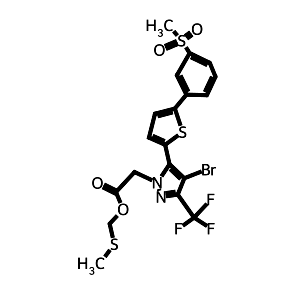 CSCOC(=O)Cn1nc(C(F)(F)F)c(Br)c1-c1ccc(-c2cccc(S(C)(=O)=O)c2)s1